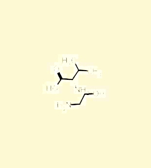 CC(C)[C@H](N)C(=O)O.NCCO